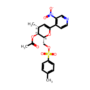 CC(=O)O[C@H]1[C@H](C)C=C(c2ccncc2[N+](=O)[O-])O[C@@H]1COS(=O)(=O)c1ccc(C)cc1